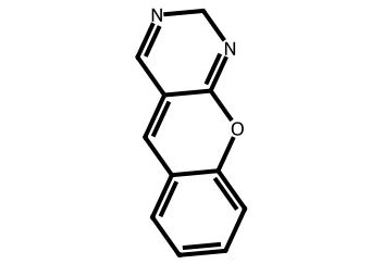 C1=NCN=C2Oc3ccccc3C=C12